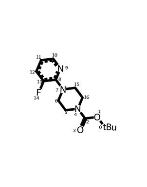 CC(C)(C)OC(=O)N1CCN(c2ncccc2F)CC1